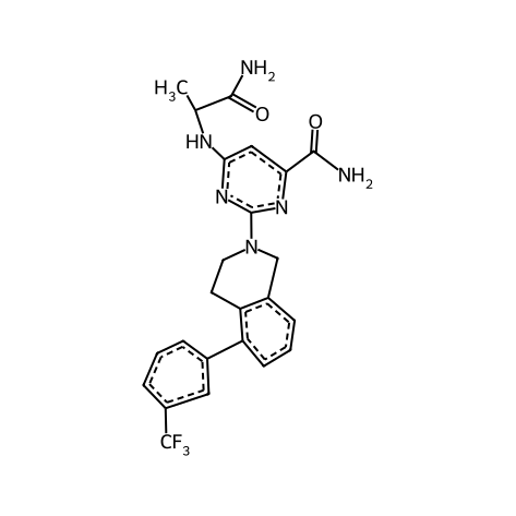 CC(Nc1cc(C(N)=O)nc(N2CCc3c(cccc3-c3cccc(C(F)(F)F)c3)C2)n1)C(N)=O